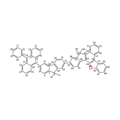 CC1(C)c2ccc(-c3c4ccccc4c(-c4ccccc4)c4ccccc34)cc2-c2ccc(-c3ccc4c(c3)C(C)(C)c3c-4c4oc5ccccc5c4c4ccccc34)cc21